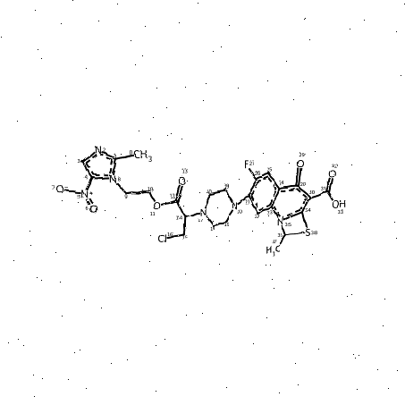 Cc1ncc([N+](=O)[O-])n1CCOC(=O)C(CCl)N1CCN(c2cc3c(cc2F)c(=O)c(C(=O)O)c2n3C(C)S2)CC1